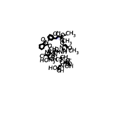 CCOC(=O)/C(Cl)=C/c1cc(N2C(=O)C3=C(CCCC3)C2=O)ccc1Cl.COc1cc(OC)nc(NC(=O)NS(=O)(=O)c2c(C(=O)O)c(Cl)nn2C)n1.C[S+](C)C.O=C(O)CNCP(=O)([O-])O